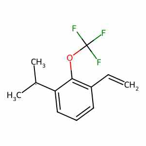 C=Cc1cccc([C](C)C)c1OC(F)(F)F